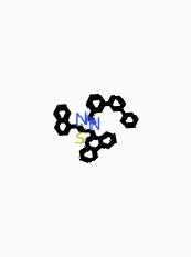 c1ccc(-c2cccc(-c3cccc(-c4nc(-c5cccc6ccccc56)c5sc6c7ccccc7c7ccccc7c6c5n4)c3)c2)cc1